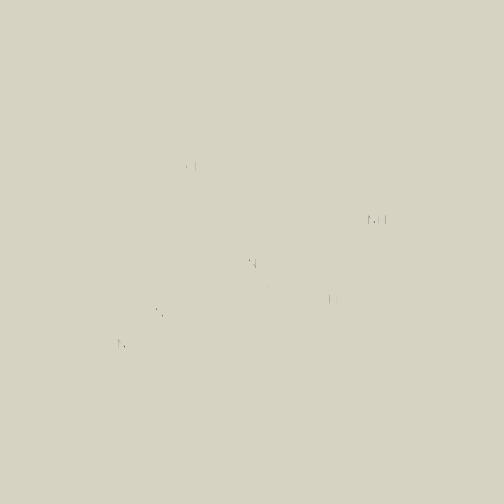 O=C1C(O)=C(c2c[nH]c3ccccc23)C(c2cccc(Cl)c2)N1CCCn1ccnc1